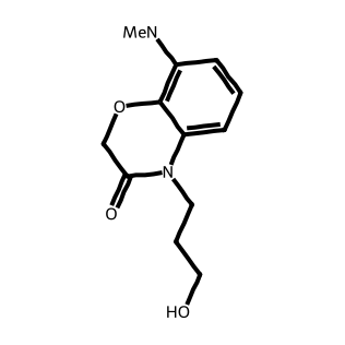 CNc1cccc2c1OCC(=O)N2CCCO